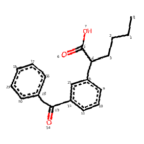 CCCCC(C(=O)O)c1cccc(C(=O)c2ccccc2)c1